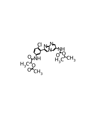 CC(=O)OC(C)C(=O)Nc1ccc(Cl)c(-c2cn3cc(NC(=O)OC(C)C)cnc3n2)c1